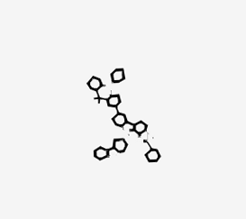 CC1(C)c2ccccc2N(c2ccccc2)c2ccc(-c3ccc4c(c3)c3ccc5nc(-c6ccccc6)sc5c3n4-c3ccc4oc5ccccc5c4c3)cc21